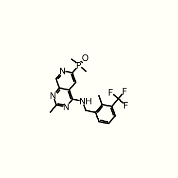 Cc1nc(NCc2cccc(C(F)(F)F)c2C)c2cc(P(C)(C)=O)ncc2n1